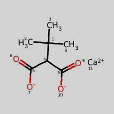 CC(C)(C)C(C(=O)[O-])C(=O)[O-].[Ca+2]